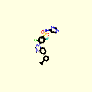 CN(C)[C@H]1C[C@@H](c2cccc(C3CC3)c2)CC[C@@H]1Nc1cc(F)c(S(=O)(=O)Nc2ccncn2)cc1Cl